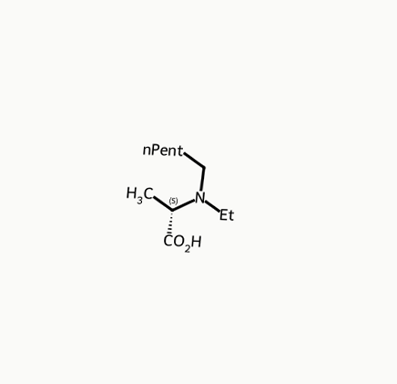 CCCCCCN(CC)[C@@H](C)C(=O)O